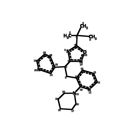 CC(C)(C)c1nc(C(Cc2cccnc2N2CCCCC2)c2cccnc2)no1